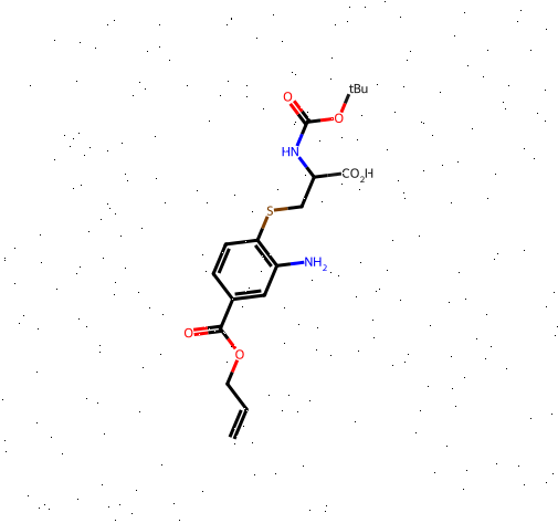 C=CCOC(=O)c1ccc(SCC(NC(=O)OC(C)(C)C)C(=O)O)c(N)c1